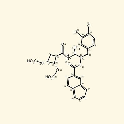 C[C@H](NC(=O)[C@@H]1C[C@@H](OC(=O)O)[C@H]1OC(=O)O)[C@@H](Cc1ccc(Cl)c(Cl)c1)OC(=O)c1ccc2ccccc2c1